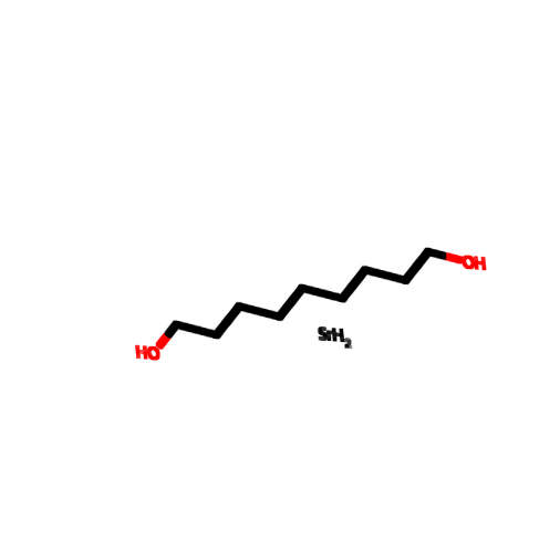 OCCCCCCCCCO.[SrH2]